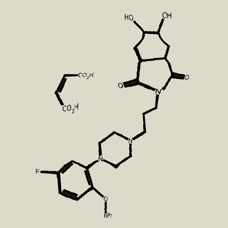 CCCOc1ccc(F)cc1N1CCN(CCCN2C(=O)C3CC(O)C(O)CC3C2=O)CC1.O=C(O)/C=C\C(=O)O